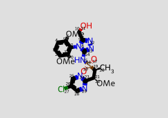 COc1cccc(OC)c1-n1c(CO)nnc1NS(=O)(=O)[C@@H](C)[C@H](OC)c1ncc(Cl)cn1